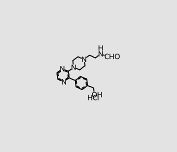 Cl.O=CNCCN1CCN(c2nccnc2-c2ccc(CO)cc2)CC1